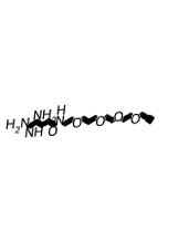 C#CCOCCOCCOCCCOCCNC(=O)CC[C@H](N)C(=N)N